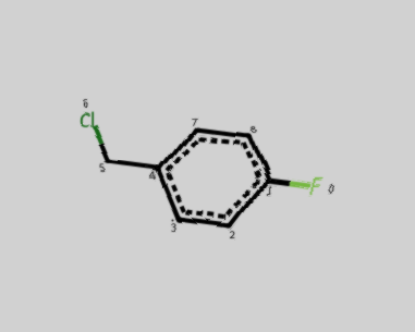 Fc1c[c]c(CCl)cc1